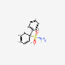 NS(=O)(=O)C1(c2ccccc2)[CH]C=CC=C1